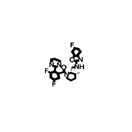 C[C@@H]1CCCN(C(=O)c2cc(F)cc(F)c2-c2ncccn2)[C@@H]1CNc1nc2ccc(F)cc2o1